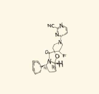 N#Cc1nccc(N2CCC3(O[C@@H]4CC[C@@H](c5ccccc5)N4C3=O)C(F)C2)n1